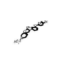 CC(C)(C)C1OC2(CCN(C(=O)O)CC2)C[C@@H]1c1cccc(Oc2ccc(Br)cn2)c1